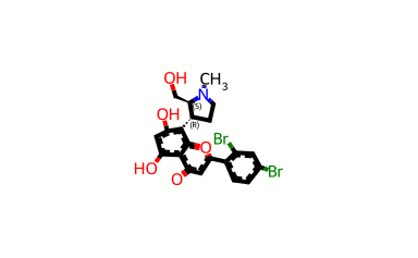 CN1CC[C@H](c2c(O)cc(O)c3c(=O)cc(-c4ccc(Br)cc4Br)oc23)[C@H]1CO